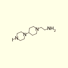 NCCN1CCC(N2CCN(I)CC2)CC1